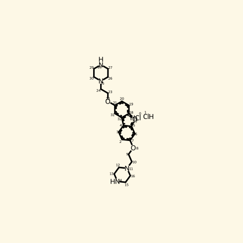 Cl.Cl.c1cc2c(cc1OCCN1CCNCC1)oc1ccc(OCCN3CCNCC3)cc12